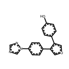 Oc1ccc(-c2cocc2-c2ccc(-n3cncn3)cc2)cc1